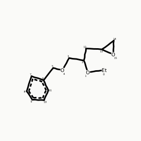 CCOC(COCc1ccccc1)CC1CO1